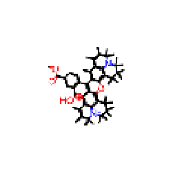 COC(=O)c1ccc(C2=c3c(C)c4c5c(c3Oc3c2c(C)c2c6c3C(C)(C)C(C)(C)C(C)(C)N6C(C)(C)C(C)=C2C)C(C)(C)C(C)(C)C(C)(C)[N+]=5C(C)(C)C(C)=C4C)c(C(=O)O)c1